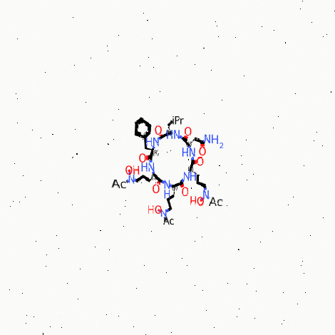 CC(=O)N(O)CCC[C@@H]1NC(=O)[C@H](CCCN(O)C(C)=O)NC(=O)[C@H](CCCN(O)C(C)=O)NC(=O)[C@@H](Cc2ccccc2)NC(=O)[C@H](CC(C)C)NC(=O)[C@H](CC(N)=O)NC1=O